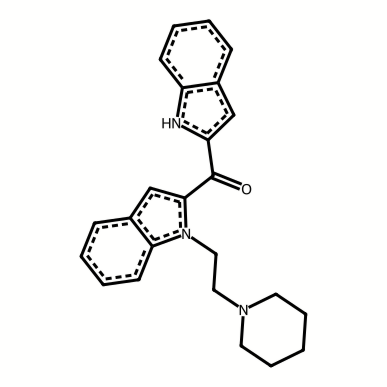 O=C(c1cc2ccccc2[nH]1)c1cc2ccccc2n1CCN1CCCCC1